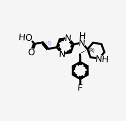 O=C(O)/C=C/c1cnc(N[C@@]2(Cc3ccc(F)cc3)CCCNC2)cn1